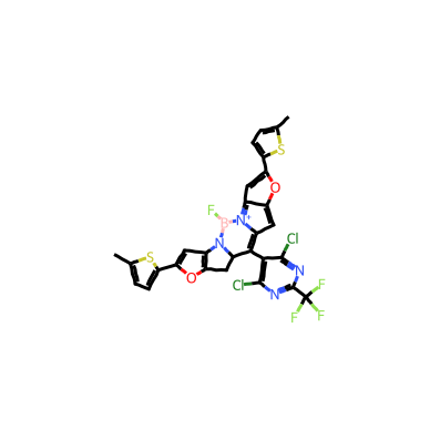 Cc1ccc(-c2cc3c(o2)CC2C(c4c(Cl)nc(C(F)(F)F)nc4Cl)=C4C=c5oc(-c6ccc(C)s6)cc5=[N+]4B(F)N32)s1